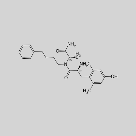 Cc1cc(O)cc(C)c1C[C@H](N)C(=O)N(CCCCc1ccccc1)[C@H](C)C(N)=O